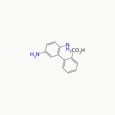 Nc1ccc(N)c(-c2ccccc2C(=O)O)c1